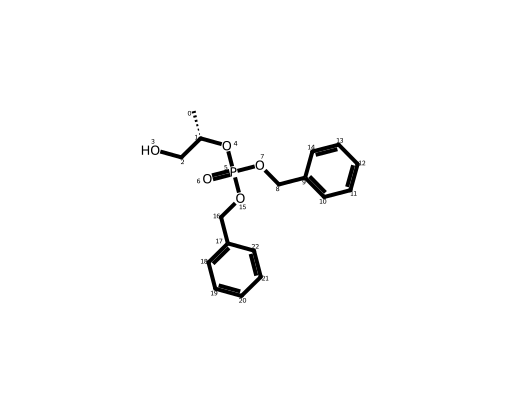 C[C@@H](CO)OP(=O)(OCc1ccccc1)OCc1ccccc1